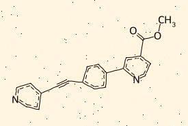 COC(=O)c1ccnc(-c2ccc(C#Cc3ccncc3)cc2)c1